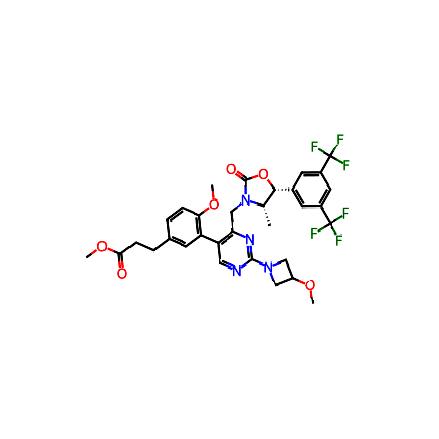 COC(=O)CCc1ccc(OC)c(-c2cnc(N3CC(OC)C3)nc2CN2C(=O)O[C@H](c3cc(C(F)(F)F)cc(C(F)(F)F)c3)[C@@H]2C)c1